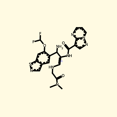 CN(C)C(=O)CN/C=C(/NC(=O)c1cnn2cccnc12)C(N)c1cc2cnsc2cc1OC(F)F